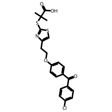 CC(C)(Sc1nc(CCOc2ccc(C(=O)c3ccc(Cl)cc3)cc2)cs1)C(=O)O